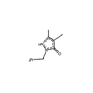 Cc1[nH]n(CC(C)C)c(=O)c1C